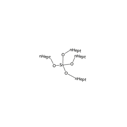 CCCCCCC[O][Sn]([O]CCCCCCC)([O]CCCCCCC)[O]CCCCCCC